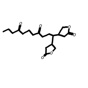 CCCC(=O)CCCC(=O)CCC(C1COC(=O)C1)C1COC(=O)C1